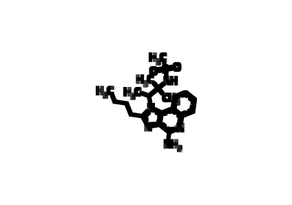 CCCCc1nc2c(N)nc3ccccc3c2n1C(C)C(C)(C)NS(C)(=O)=O